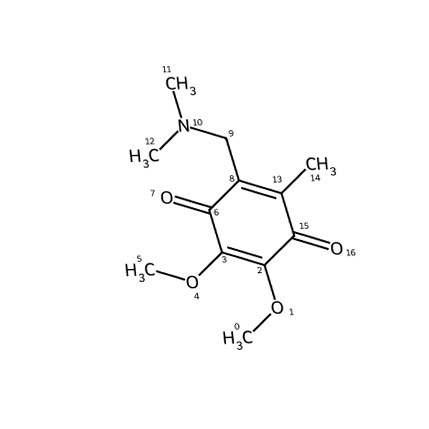 COC1=C(OC)C(=O)C(CN(C)C)=C(C)C1=O